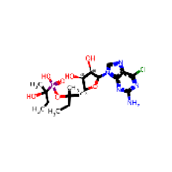 CCC(C)(C[C@H]1OC(n2cnc3c(Cl)nc(N)nc32)[C@H](O)[C@@H]1O)OP(=O)(O)C(C)(O)CC